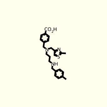 Cc1ccc(CNCCCN(Cc2ccc(C(=O)O)cc2)Cc2csc(C)n2)cc1